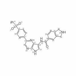 CC(C)S(=O)(=O)c1ccc(-c2cnc3[nH]cc(NC(=O)c4ccc5c(c4)CNC5)c3n2)cc1